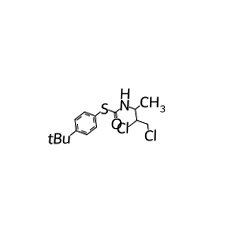 CC(NC(=O)Sc1ccc(C(C)(C)C)cc1)C(Cl)CCl